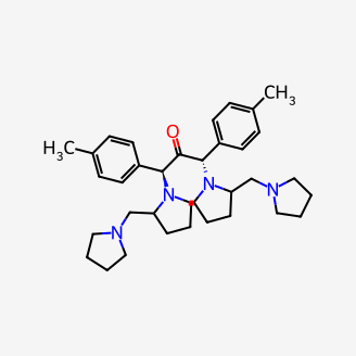 Cc1ccc([C@@H](C(=O)[C@H](c2ccc(C)cc2)N2CCCC2CN2CCCC2)N2CCCC2CN2CCCC2)cc1